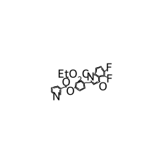 CCOC(=O)n1c(-c2ccc(OC(=O)c3cccnc3)cc2)cc(=O)c2c(F)c(F)ccc21